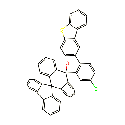 OC1(c2cc(Cl)ccc2-c2ccc3sc4ccccc4c3c2)c2ccccc2C2(c3ccccc3-c3ccccc32)c2ccccc21